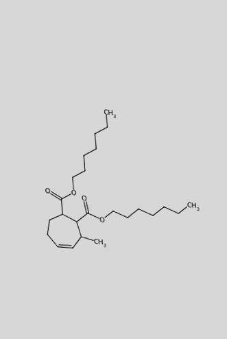 CCCCCCCOC(=O)C1CCC=CC(C)C1C(=O)OCCCCCCC